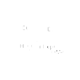 CCCCCCCC1(C(=O)O)C=C(CC)C=C(CC)C1CCOC